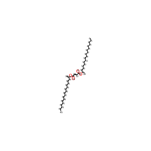 CCCCCCCCCCCCCCCCCC(C)OC(=O)/C=C/C(=O)OC(C)CCCCCCCCCCCCCCCCC